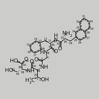 C[C@H](O)[C@@H](NC(=O)CNC(=O)[C@@H](Cc1ccccc1)NC(=O)[C@H](N)Cc1ccc2ccccc2c1)C(=O)N[C@H](CO)C(=O)O